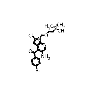 C[Si](C)(C)CCOCn1c(Cl)cc2c(C(=O)c3ccc(Br)cc3)c(N)cnc21